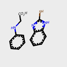 O=C(O)CNc1ccccc1.Sc1nc2ccccc2[nH]1